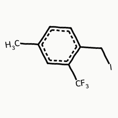 Cc1ccc(CI)c(C(F)(F)F)c1